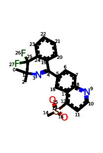 CC1(C)N=C(c2ccc3nccc(S(C)(=O)=O)c3c2)c2ccccc2C1(F)F